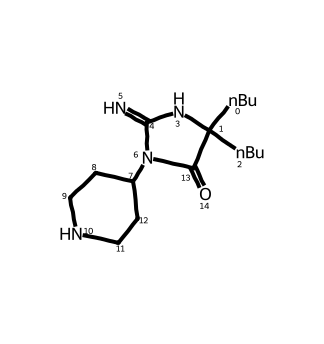 CCCCC1(CCCC)NC(=N)N(C2CCNCC2)C1=O